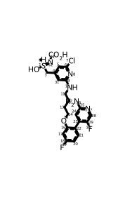 C[SH](O)(Cc1cc(Cl)nc(NCCCCOc2cc(F)ccc2-c2cc(N)ncc2F)c1)=NC(=O)O